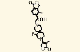 CC1=C(N2CCC3(CCN(C[C@H](O)c4ccc5c(c4C)COC5=O)CC3)[C@H](F)C2)COC1=O